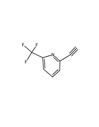 C#Cc1cccc(C(F)(F)F)n1